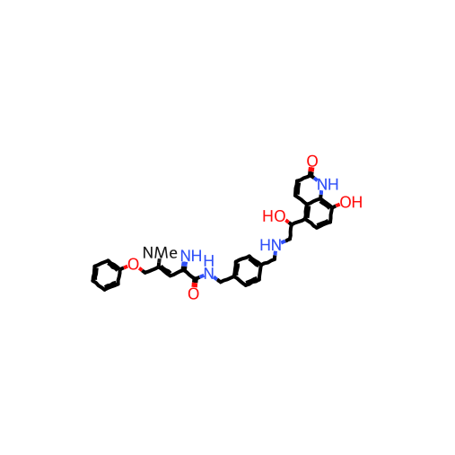 CN/C(=C\C(=N)C(=O)NCc1ccc(CNCC(O)c2ccc(O)c3[nH]c(=O)ccc23)cc1)COc1ccccc1